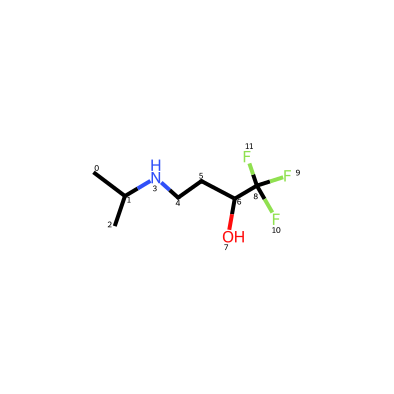 CC(C)NCCC(O)C(F)(F)F